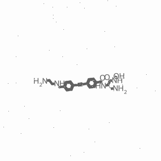 NCCNCc1ccc(C#Cc2ccc(C(=O)N[C@@H](CN)C(=O)NO)cc2)cc1